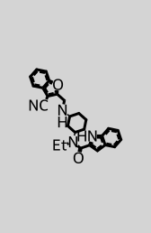 CCN(C(=O)c1cc2ccccc2[nH]1)[C@H]1CCC[C@@H](NCc2oc3ccccc3c2C#N)C1